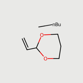 C=CC1OCCCO1.CCCCC